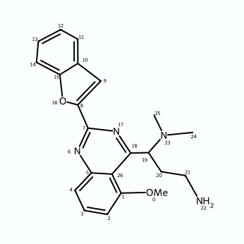 COc1cccc2nc(-c3cc4ccccc4o3)nc(C(CCN)N(C)C)c12